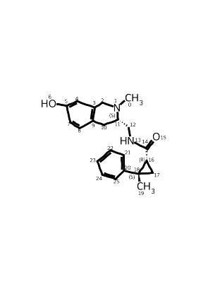 CN1Cc2cc(O)ccc2C[C@H]1CNC(=O)[C@@H]1C[C@]1(C)c1ccccc1